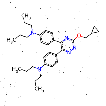 CCCN(CCC)c1ccc(-c2nnc(OCC3CC3)nc2-c2ccc(N(CCC)CCC)cc2)cc1